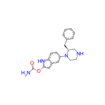 NC(=O)Oc1cc2cc(N3CCNC[C@@H]3Cc3ccccc3)ccc2[nH]1